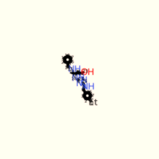 CCc1ccc(CNc2nc3nc(CNCc4ccccc4)cc(O)n3n2)cc1